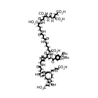 CC(C)(C)[SiH](c1ccc(C(=O)NC[C@H](C(=O)N[C@H](CCCCNC(=O)CCC(=O)NCCC[C@H](NC(=O)CC[C@H](NC(=O)N[C@@H](CCC(=O)O)C(=O)O)C(=O)O)C(=O)O)C(=O)O)n2cc(CNC(=O)CC[PH](O)(O)CN3CCN(CPCCC(=O)O)CCN(CP(=O)(O)CCC(=O)O)CC3)nn2)cc1)C(C)(C)C